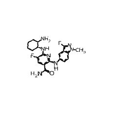 Cn1nc(F)c2cc(Nc3nc(NC4CCCCC4N)c(F)cc3C(N)=O)ccc21